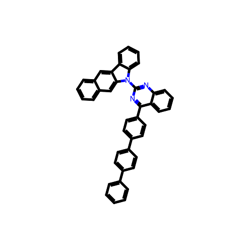 c1ccc(-c2ccc(-c3ccc(-c4nc(-n5c6ccccc6c6cc7ccccc7cc65)nc5ccccc45)cc3)cc2)cc1